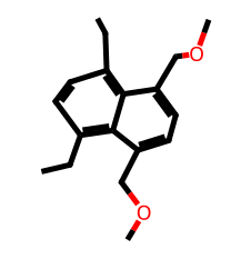 CCc1ccc(CC)c2c(COC)ccc(COC)c12